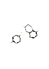 CC[C@H]1CCc2c(F)ccc(F)c2[C@H]1S(=O)(=O)c1ccc(Cl)cc1